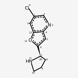 Clc1cnc2cc([C@H]3CCCN3)oc2c1